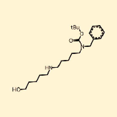 CC(C)(C)OC(=O)N(CCCCCNCCCCCO)Cc1ccccc1